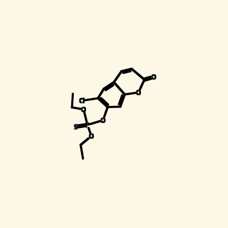 CCOP(=S)(OCC)Oc1cc2oc(=O)ccc2cc1Cl